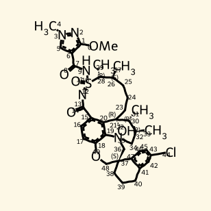 COc1nn(C)cc1C(=O)NS1(=O)=NC(=O)c2ccc3c4c2[C@@](O)(CCC[C@H](C)[C@H]1C)[C@H](C)[C@@H](C)CN4C[C@@]1(CCCc2cc(Cl)ccc21)CO3